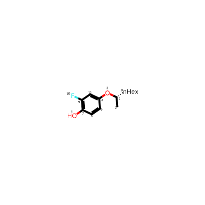 CCCCCC[C@H](C)Oc1ccc(O)c(F)c1